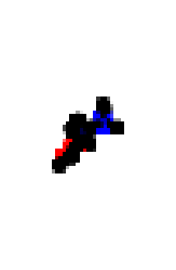 c1ccc(-c2nc(-c3ccccc3)nc(-c3cc(-c4ccccc4)c(-n4c5ccccc5c5c6oc7c(ccc8c9ccccc9oc87)c6ccc54)c(-c4ccccc4)c3)n2)cc1